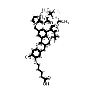 CCn1cc(-c2cc(Cn3ccn(C)c3=NC(=O)OC(C)(C)C)cc3c2OCC(Cc2ccc(Cl)c(OCCCCC(=O)O)c2)C3=O)c(C(F)(F)F)n1